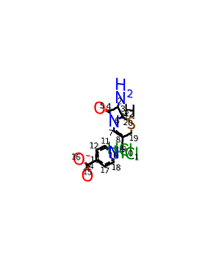 Cl.Cl.NC1C(=O)N2C=C(C[n+]3ccc(C(=O)[O-])cc3)CS[C@H]12